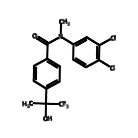 CN(C(=O)c1ccc(C(C)(O)C(F)(F)F)cc1)c1ccc(Cl)c(Cl)c1